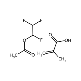 C=C(C)C(=O)O.CC(=O)OC(F)C(F)F